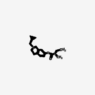 CCN(C)C(=O)Oc1ccc2c(c1)CN(CC1CC1)CC2